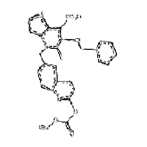 CCOC(=O)c1c(OCc2ccccc2)c(=O)n(Cc2ccc3nc(OC(=O)OC(C)(C)C)ccc3c2)c2ccsc12